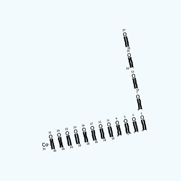 [C]=O.[C]=O.[C]=O.[C]=O.[C]=O.[C]=O.[C]=O.[C]=O.[C]=O.[C]=O.[C]=O.[C]=O.[C]=O.[C]=O.[C]=O.[C]=O.[Co]